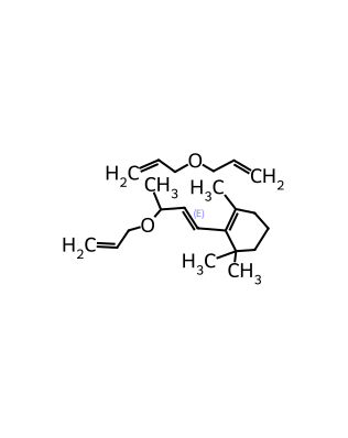 C=CCOC(C)/C=C/C1=C(C)CCCC1(C)C.C=CCOCC=C